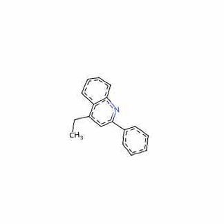 CCc1cc(-c2ccccc2)nc2ccccc12